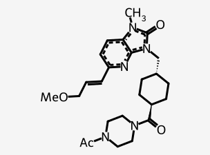 COCC=Cc1ccc2c(n1)n(C[C@H]1CC[C@H](C(=O)N3CCN(C(C)=O)CC3)CC1)c(=O)n2C